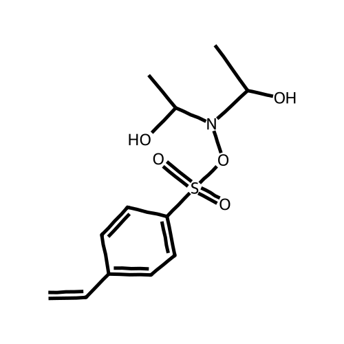 C=Cc1ccc(S(=O)(=O)ON(C(C)O)C(C)O)cc1